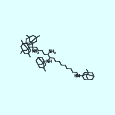 CC12CC3CC(C1)CC(NCCCCCCCCCC(NC14CC5CC(CC(C)(C5)C1)C4)C(N)CCCCC(N)(C14CC5(C)CC(C)(CC(C)(C5)C1)C4)C14CC5(C)CC(C)(CC(C)(C5)C1)C4)(C3)C2